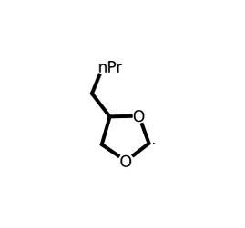 CCCCC1CO[CH]O1